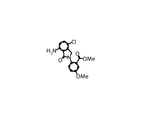 COC(=O)c1cc(OC)ccc1N1Cc2c(Cl)ccc(N)c2C1=O